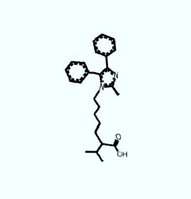 Cc1nc(-c2ccccc2)c(-c2ccccc2)n1CCCCCC(C(=O)O)C(C)C